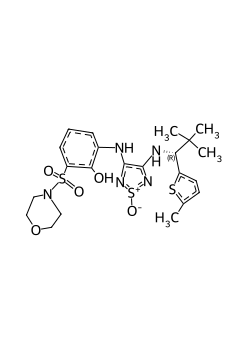 Cc1ccc([C@H](Nc2n[s+]([O-])nc2Nc2cccc(S(=O)(=O)N3CCOCC3)c2O)C(C)(C)C)s1